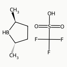 C[C@@H]1B[C@@H](C)CC1.O=S(=O)(O)C(F)(F)F